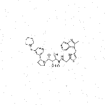 Cc1nc2ccccc2n1Cc1csc(CNC(=O)[C@H](O)[C@@H](O)C(=O)N2CCCC2c2cccc(CN3CCCCC3)c2)n1